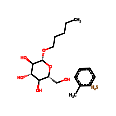 CCCCCO[C@@H]1O[C@H](CO)[C@@H](O)[C@H](O)[C@H]1O.Cc1ccccc1.S